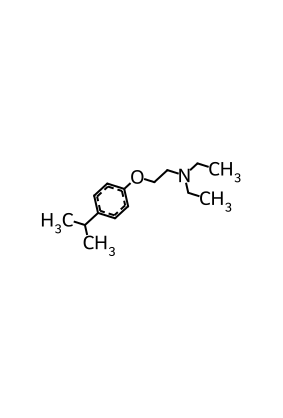 CCN(CC)CCOc1ccc(C(C)C)cc1